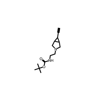 C#CC1C2CN(CCNC(=O)OC(C)(C)C)CC12